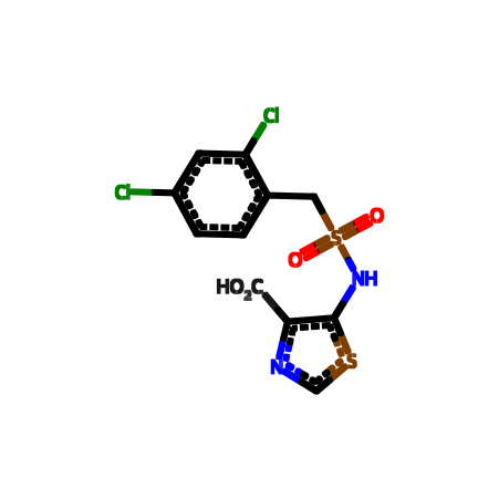 O=C(O)c1ncsc1NS(=O)(=O)Cc1ccc(Cl)cc1Cl